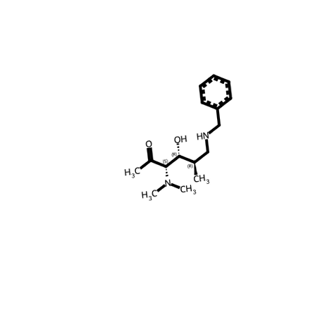 CC(=O)[C@H]([C@H](O)[C@H](C)CNCc1ccccc1)N(C)C